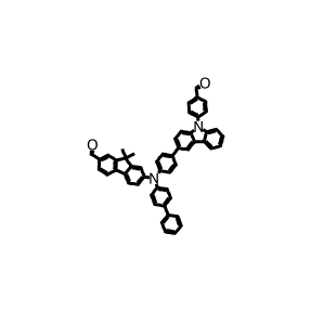 CC1(C)c2cc(C=O)ccc2-c2ccc(N(c3ccc(-c4ccccc4)cc3)c3ccc(-c4ccc5c(c4)c4ccccc4n5-c4ccc(C=O)cc4)cc3)cc21